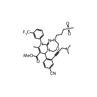 COC(=O)C1=C(C)N(c2cccc(C(F)(F)F)c2)C2=NN(CCCS(C)(=O)=O)COCN2C1c1ccc(C#N)cc1C#CCN(C)C